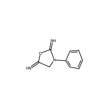 N=C1CN(c2ccccc2)C(=N)O1